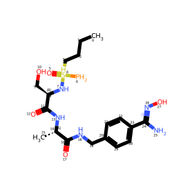 CCCC[SH](=O)(P)N[C@H](CO)C(=O)N[C@@H](C)C(=O)NCc1ccc(/C(N)=N/O)cc1